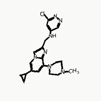 CN1CCN(c2cc(C3CC3)cn3cc(CNc4cnnc(Cl)c4)nc23)CC1